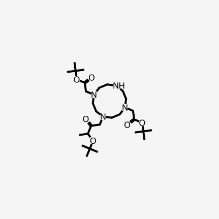 CC(OC(C)(C)C)C(=O)CN1CCN(CC(=O)OC(C)(C)C)CCNCCN(CC(=O)OC(C)(C)C)CC1